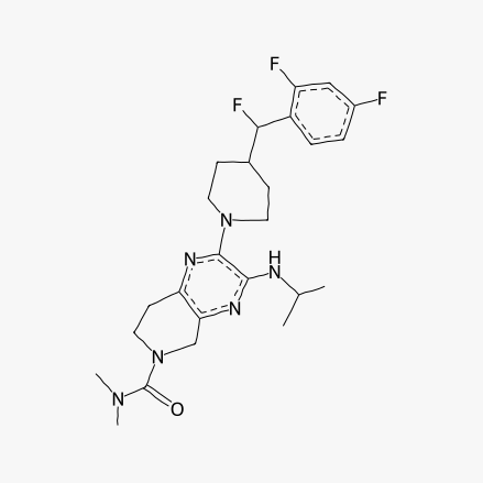 CC(C)Nc1nc2c(nc1N1CCC(C(F)c3ccc(F)cc3F)CC1)CCN(C(=O)N(C)C)C2